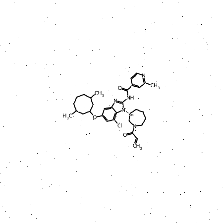 C=CC(=O)N1CCCC[C@@H](n2c(NC(=O)c3ccnc(C)c3)nc3cc(OC4CC(C)CCCC(C)C4)cc(Cl)c32)C1